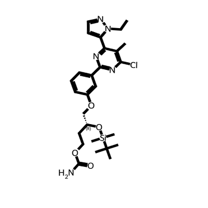 CCn1nccc1-c1nc(-c2cccc(OC[C@@H](CCOC(N)=O)O[Si](C)(C)C(C)(C)C)c2)nc(Cl)c1C